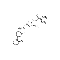 CN(C)C(=O)CO[C@H]1CN(CC(=O)Nc2ccc(-n3ccccc3=O)cc2F)C[C@@H]1N